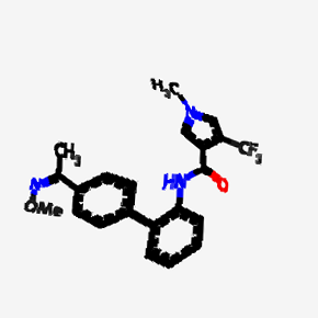 CO/N=C(/C)c1ccc(-c2ccccc2NC(=O)c2cn(C)cc2C(F)(F)F)cc1